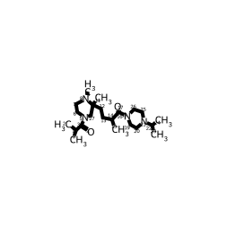 CC(C)C(=O)N1CCN(C)C(C)(CCC(C)C(=O)N2CCN(C(C)C)CC2)C1